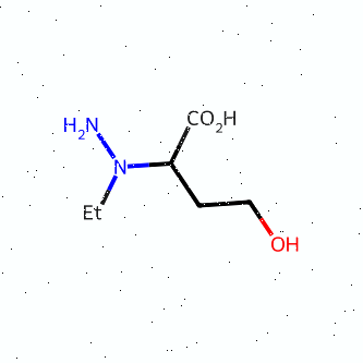 CCN(N)C(CCO)C(=O)O